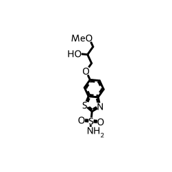 COCC(O)COc1ccc2nc(S(N)(=O)=O)sc2c1